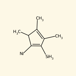 CC1=C(C)C(C)[C]([Ni])=C1[SiH3]